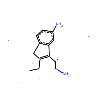 CCC1=C(CCN)c2cc(N)ccc2C1